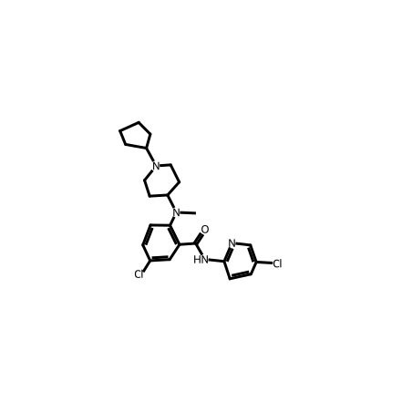 CN(c1ccc(Cl)cc1C(=O)Nc1ccc(Cl)cn1)C1CCN(C2CCCC2)CC1